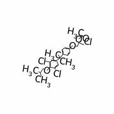 CCC(C)COc1c(Cl)cc(C(C)(C)c2ccc(OCC(CCl)OC(C)=O)cc2)cc1Cl